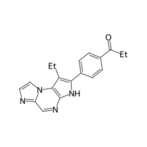 CCC(=O)c1ccc(-c2[nH]c3ncc4nccn4c3c2CC)cc1